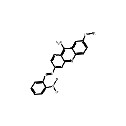 CCOc1ccc2nc3cc(N=Nc4ccccc4N(CC)CC)ccc3c(N)c2c1